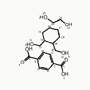 O=C(O)c1ccc(C(=O)O)cc1.OCC1CCCCC1CO.OCCO